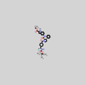 CCOC(=O)c1cc2cc(NC(=O)[C@@H]3[C@H](c4ccccc4)CCN3C(=O)C3CCC([C@@H](CF)NC(=O)OC(C)(C)C)CC3)ccc2[nH]1